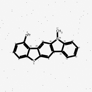 CCCc1cccc2sc3cc4c5ccccc5n(C)c4cc3c12